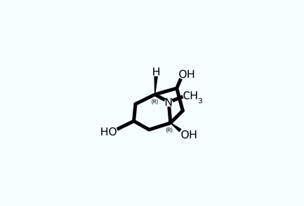 CN1[C@@H]2CC(O)C[C@@]1(O)CC2O